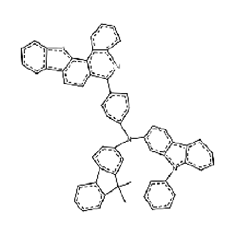 CC1(C)c2ccccc2-c2ccc(N(c3ccc(-c4nc5ccccc5c5c4ccc4c6ccccc6sc45)cc3)c3ccc4c5ccccc5n(-c5ccccc5)c4c3)cc21